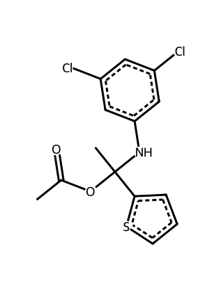 CC(=O)OC(C)(Nc1cc(Cl)cc(Cl)c1)c1cccs1